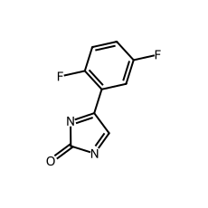 O=C1N=CC(c2cc(F)ccc2F)=N1